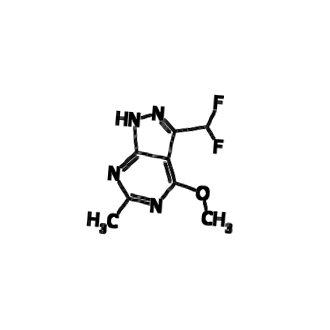 COc1nc(C)nc2[nH]nc(C(F)F)c12